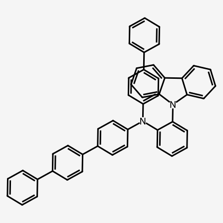 c1ccc(-c2ccc(-c3ccc(N(c4ccc(-c5ccccc5)cc4)c4ccccc4-n4c5ccccc5c5ccccc54)cc3)cc2)cc1